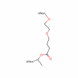 CCCCCCCCCOCCOCCCC(=O)OC(C)CCCCCC